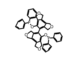 c1ccc(P(Oc2c3c(c4c(c2-c2c5c(c6c(c2OP(c2ccccc2)c2ccccc2)COC6)COC5)COC4)COC3)c2ccccc2)cc1